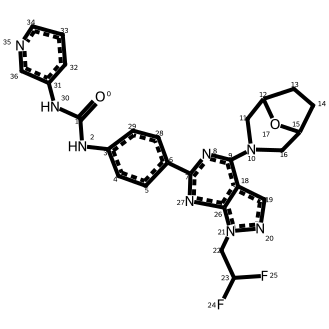 O=C(Nc1ccc(-c2nc(N3CC4CCC(C3)O4)c3cnn(CC(F)F)c3n2)cc1)Nc1cccnc1